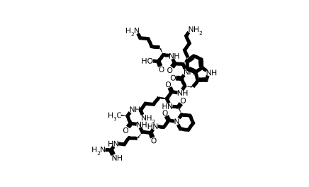 C[C@H](N)C(=O)N[C@@H](CCCNC(=N)N)C(=O)NCC(=O)N1CCCC[C@H]1C(=O)N[C@@H](CCCCN)C(=O)N[C@@H](Cc1c[nH]c2ccccc12)C(=O)N[C@@H](CCCCN)C(=O)N[C@@H](CCCCN)C(=O)O